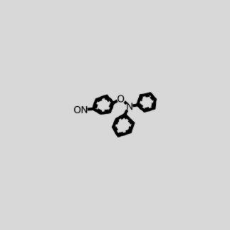 O=Nc1ccc(ON(c2ccccc2)c2ccccc2)cc1